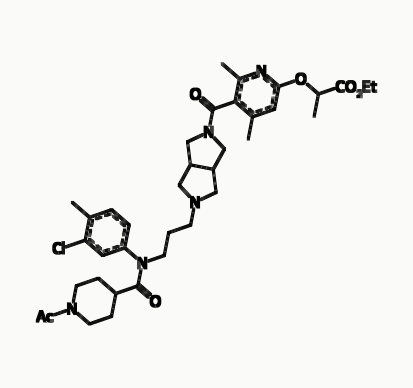 CCOC(=O)C(C)Oc1cc(C)c(C(=O)N2CC3CN(CCCN(C(=O)C4CCN(C(C)=O)CC4)c4ccc(C)c(Cl)c4)CC3C2)c(C)n1